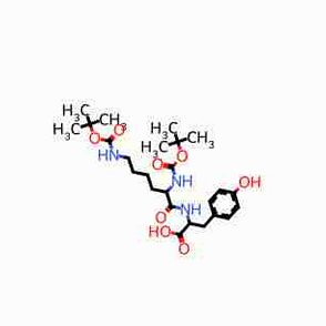 CC(C)(C)OC(=O)NCCCCC(NC(=O)OC(C)(C)C)C(=O)NC(Cc1ccc(O)cc1)C(=O)O